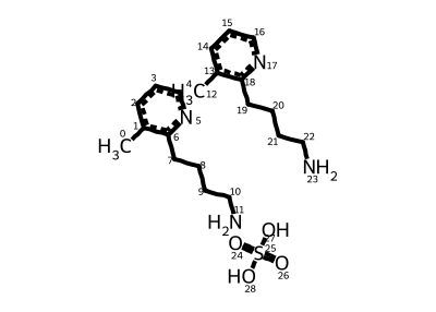 Cc1cccnc1CCCCN.Cc1cccnc1CCCCN.O=S(=O)(O)O